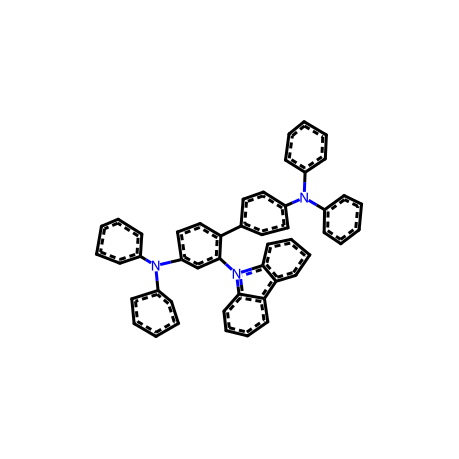 c1ccc(N(c2ccccc2)c2ccc(-c3ccc(N(c4ccccc4)c4ccccc4)cc3-n3c4ccccc4c4ccccc43)cc2)cc1